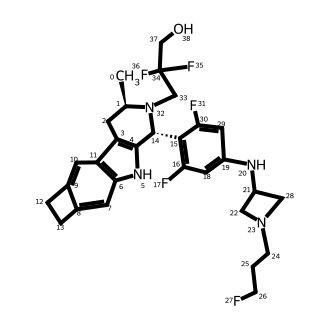 C[C@@H]1Cc2c([nH]c3cc4c(cc23)CC4)[C@@H](c2c(F)cc(NC3CN(CCCF)C3)cc2F)N1CC(F)(F)CO